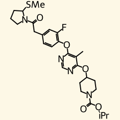 CSC1CCCN1C(=O)Cc1ccc(Oc2ncnc(OC3CCN(C(=O)OC(C)C)CC3)c2C)c(F)c1